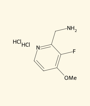 COc1ccnc(CN)c1F.Cl.Cl